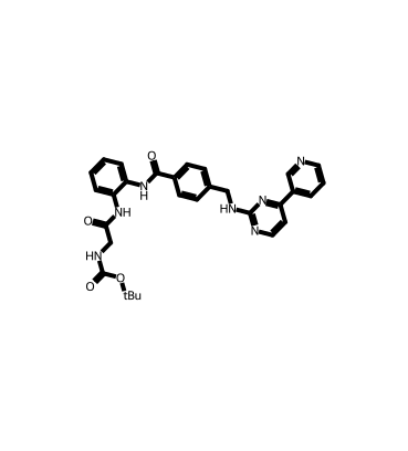 CC(C)(C)OC(=O)NCC(=O)Nc1ccccc1NC(=O)c1ccc(CNc2nccc(-c3cccnc3)n2)cc1